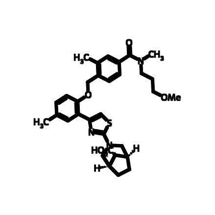 COCCCN(C)C(=O)c1ccc(COc2ccc(C)cc2-c2csc(N3C[C@H]4CC[C@@H](C3)C4C(=O)O)n2)c(C)c1